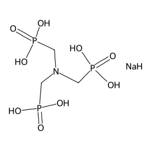 O=P(O)(O)CN(CP(=O)(O)O)CP(=O)(O)O.[NaH]